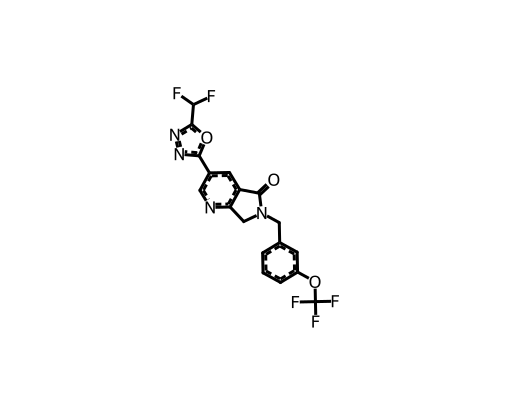 O=C1c2cc(-c3nnc(C(F)F)o3)cnc2CN1Cc1cccc(OC(F)(F)F)c1